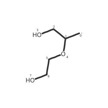 [CH2]C(CO)OCCO